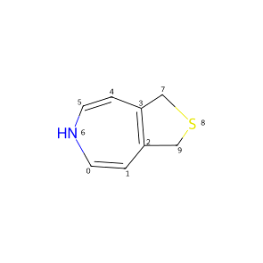 C1=CC2=C(C=CN1)CSC2